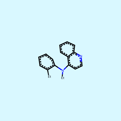 CCc1ccccc1N(CC)c1ccnc2ccccc12